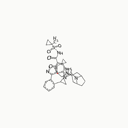 CC1(S(=O)(=O)NC(=O)c2ccc3nc(N4C5CCC4CC(NCc4c(-c6ccccc6C6CC6)noc4C4CC4)C5)sc3c2)CC1